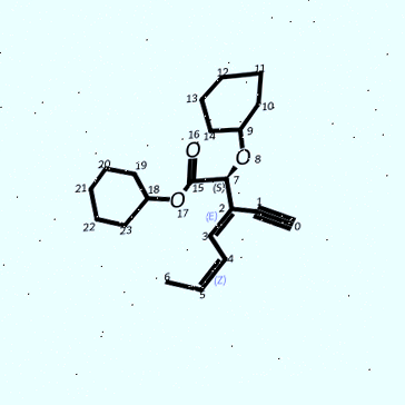 C#C/C(=C\C=C/C)[C@H](OC1CCCCC1)C(=O)OC1CCCCC1